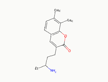 CCC(N)CCc1cc2ccc(OC(C)=O)c(OC(C)=O)c2oc1=O